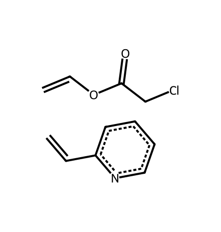 C=COC(=O)CCl.C=Cc1ccccn1